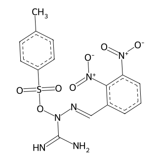 Cc1ccc(S(=O)(=O)ON(N=Cc2cccc([N+](=O)[O-])c2[N+](=O)[O-])C(=N)N)cc1